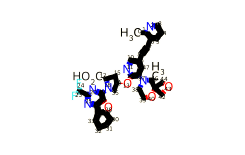 Cc1ncccc1C#Cc1cnc(O[C@H]2C[C@@H](C(=O)O)N(c3nc(C(F)F)nc4c3oc3ccccc34)C2)c(N2CCOC3(COC3)[C@@H]2C)c1